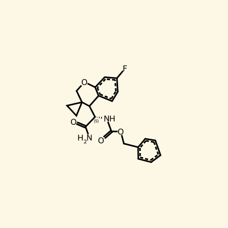 NC(=O)[C@@H](NC(=O)OCc1ccccc1)C1c2ccc(F)cc2OCC12CC2